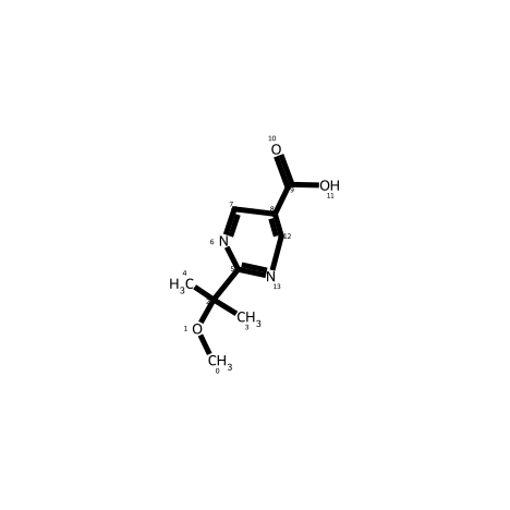 COC(C)(C)c1ncc(C(=O)O)cn1